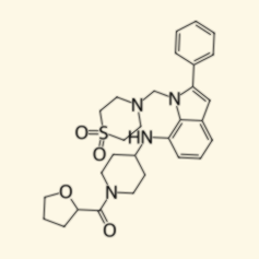 O=C(C1CCCO1)N1CCC(Nc2cccc3cc(-c4ccccc4)n(CN4CCS(=O)(=O)CC4)c23)CC1